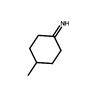 CC1CCC(=N)CC1